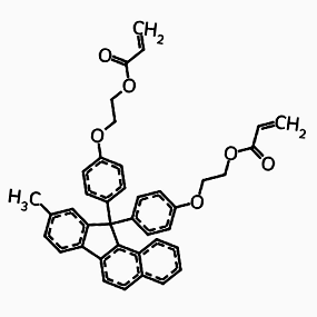 C=CC(=O)OCCOc1ccc(C2(c3ccc(OCCOC(=O)C=C)cc3)c3cc(C)ccc3-c3ccc4ccccc4c32)cc1